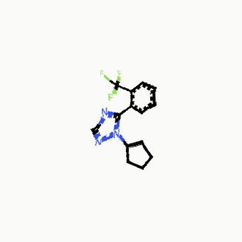 FC(F)(F)c1ccccc1-c1ncnn1C1CCCC1